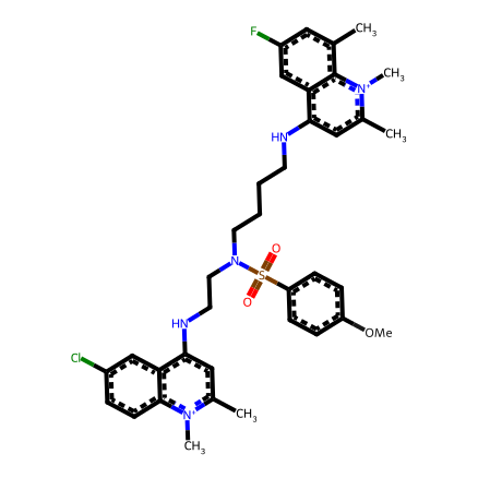 COc1ccc(S(=O)(=O)N(CCCCNc2cc(C)[n+](C)c3c(C)cc(F)cc23)CCNc2cc(C)[n+](C)c3ccc(Cl)cc23)cc1